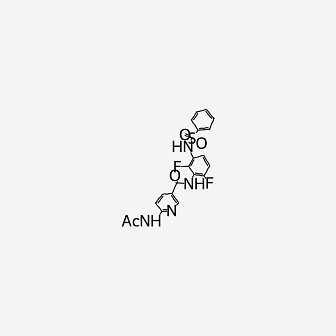 CC(=O)Nc1ccc(C(=O)Nc2c(F)ccc(NS(=O)(=O)c3ccccc3)c2F)cn1